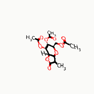 CC(=O)OC[C@H]1OC2C(C)C(=O)O[C@@H]2[C@@H](OC(C)=O)[C@@H]1OC(C)=O